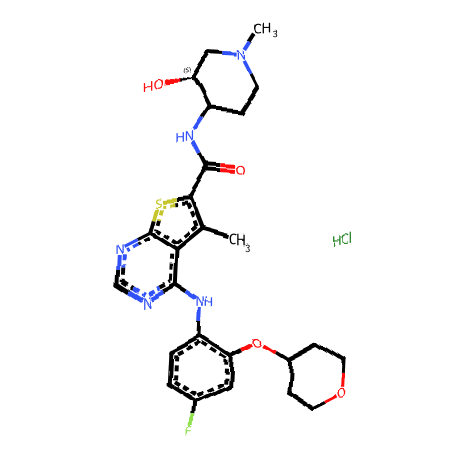 Cc1c(C(=O)NC2CCN(C)C[C@@H]2O)sc2ncnc(Nc3ccc(F)cc3OC3CCOCC3)c12.Cl